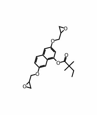 CCC(C)(C)C(=O)Oc1cc(OCC2CO2)cc2ccc(OCC3CO3)cc12